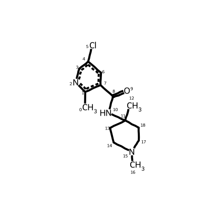 Cc1ncc(Cl)cc1C(=O)NC1(C)CCN(C)CC1